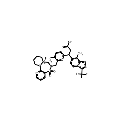 Cc1ccc(C(CC(=O)O)c2ccn3c(C(F)(F)F)nnc3c2C)nc1CN1C[C@@H]2CCCCN2c2ncccc2S1(=O)=O